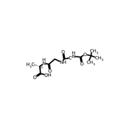 C[C@H](NC(=O)CNC(=O)CNC(=O)OC(C)(C)C)C(=O)O